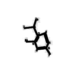 [CH2]C(C)c1ccc(C)cc1C